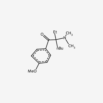 CCCCC(CC)(C(=O)c1ccc(OC)cc1)N(C)C